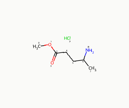 COC(=O)CCC(C)N.Cl